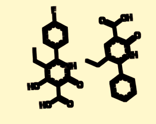 CCc1c(-c2ccc(F)cc2)[nH]c(=O)c(C(=O)O)c1O.CCc1cc(C(=O)O)c(=O)[nH]c1-c1ccccc1